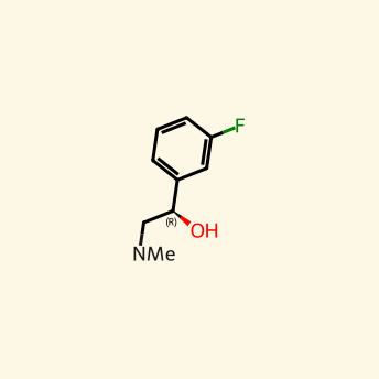 CNC[C@H](O)c1cccc(F)c1